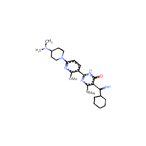 CNc1nc(-c2ccc(N3CCC(N(C)C)CC3)nc2OC)[nH]c(=O)c1C(=N)C1CCCCC1